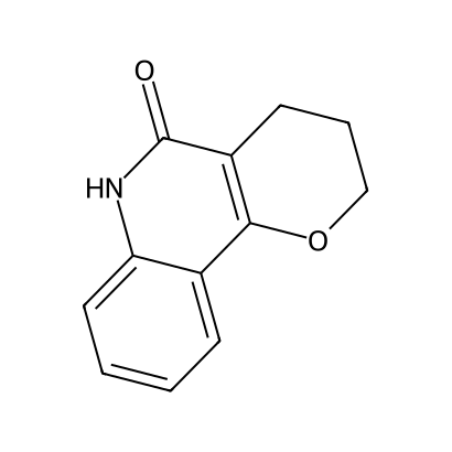 O=c1[nH]c2ccccc2c2c1CCCO2